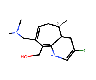 C[C@H]1CC=C(CN(C)C)C(CO)=C2NC=C(Cl)CC21